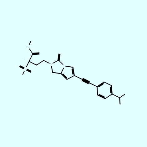 CC(O)c1ccc(C#Cc2cc3n(c2)C(=O)N(CC[C@](C)(C(=O)NO)S(C)(=O)=O)C3)cc1